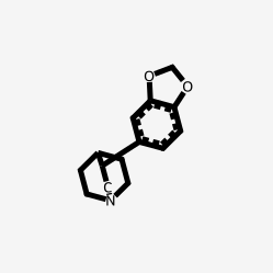 c1cc2c(cc1C1CN3CCC1CC3)OCO2